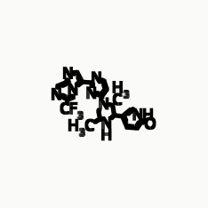 CC1CN(c2ccnc(-c3cnc4cnc(C(F)(F)F)cn34)n2)C(C)C(c2ccc(=O)[nH]c2)N1